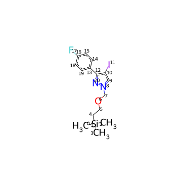 C[Si](C)(C)CCOCn1cc(I)c(-c2ccc(F)cc2)n1